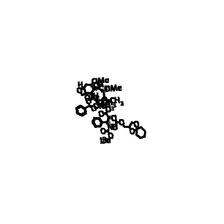 CO[C@H]1C(=O)[C@]2(C)[C@@H](OC)C[C@H]3OC[C@@]3(OC(C)=O)[C@H]2[C@H](OC(=O)c2ccccc2)C2(O)C[C@H](OC(=O)[C@H](OC(=O)OCC3COC4(CCCCC4)O3)[C@@H](NC(=O)OC(C)(C)C)c3ccccc3)C(C)=C1C2(C)C